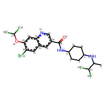 CC(NC1CCC(NC(=O)c2cnc3cc(OC(F)F)c(Br)cc3c2)CC1)C(F)F